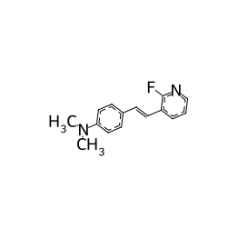 CN(C)c1ccc(/C=C/c2cccnc2F)cc1